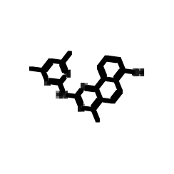 Cc1cc(C)nc(Nc2nc(C)c3ccc4c(O)cccc4c3n2)n1